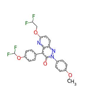 COc1ccc(-n2nc3ccc(OCC(F)F)nc3c(-c3ccc(OC(F)F)cc3)c2=O)cc1